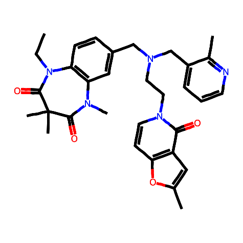 CCN1C(=O)C(C)(C)C(=O)N(C)c2cc(CN(CCn3ccc4oc(C)cc4c3=O)Cc3cccnc3C)ccc21